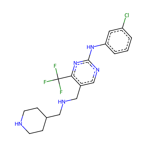 FC(F)(F)c1nc(Nc2cccc(Cl)c2)ncc1CNCC1CCNCC1